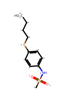 CS(=O)(=O)Nc1ccc(SCCCC(=O)O)cc1